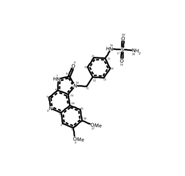 COc1cc2ncc3[nH]c(=O)n(Cc4ccc(NS(N)(=O)=O)cc4)c3c2cc1OC